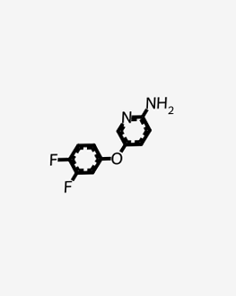 Nc1ccc(Oc2ccc(F)c(F)c2)cn1